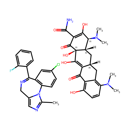 CN(C)c1ccc(O)c2c1C[C@H]1C[C@H]3[C@H](N(C)C)C(O)=C(C(N)=O)C(=O)[C@@]3(O)C(O)=C1C2=O.Cc1ncc2n1-c1ccc(Cl)cc1C(c1ccccc1F)=NC2